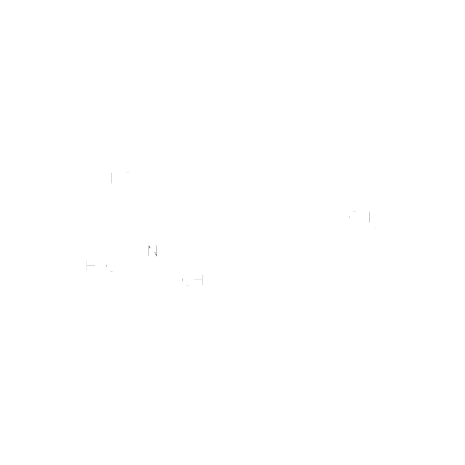 C=CCCCC(C)N(C)C